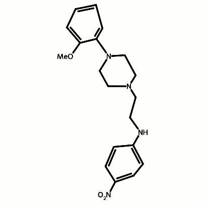 COc1ccccc1N1CCN(CCNc2ccc([N+](=O)[O-])cc2)CC1